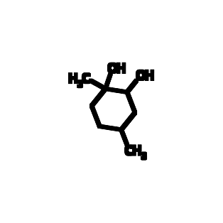 CC1CCC(C)(O)C(O)C1